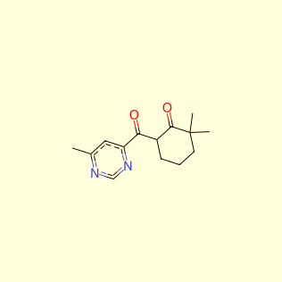 Cc1cc(C(=O)C2CCCC(C)(C)C2=O)ncn1